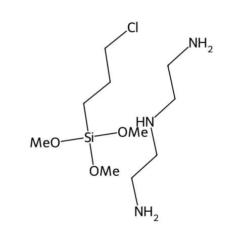 CO[Si](CCCCl)(OC)OC.NCCNCCN